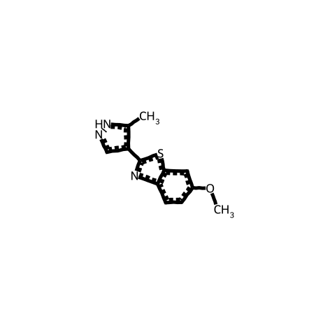 COc1ccc2nc(-c3cn[nH]c3C)sc2c1